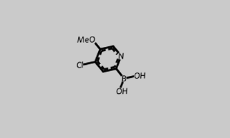 COc1cnc(B(O)O)cc1Cl